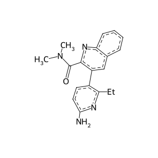 CCc1nc(N)ccc1-c1cc2ccccc2nc1C(=O)N(C)C